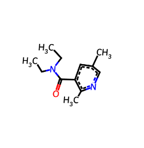 CCN(CC)C(=O)c1cc(C)cnc1C